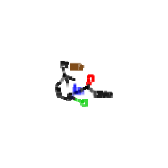 Br.CCC12C=CC(NC1)C(Cl)(C(=O)OC)C2